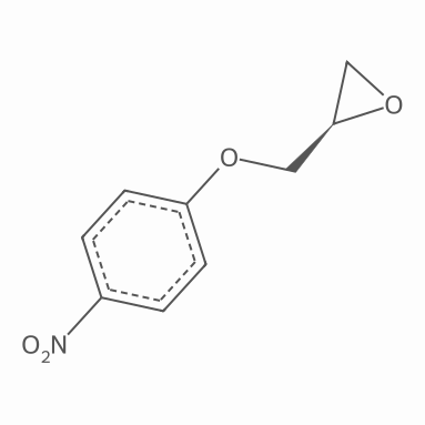 O=[N+]([O-])c1ccc(OC[C@H]2CO2)cc1